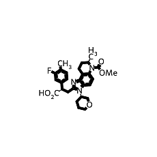 COC(=O)N1c2ccc3c(nc(C[C@H](C(=O)O)c4ccc(C)c(F)c4)n3[C@H]3CCCOC3)c2CC[C@@H]1C